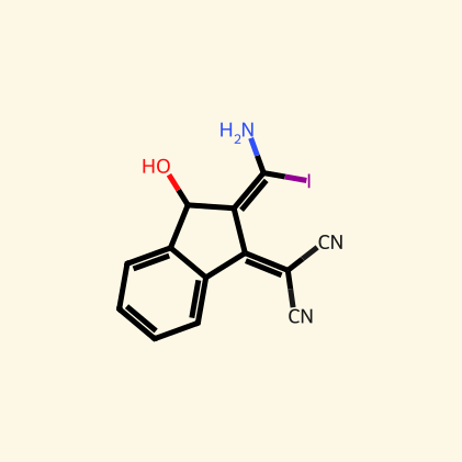 N#CC(C#N)=C1/C(=C(/N)I)C(O)c2ccccc21